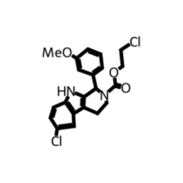 COc1cccc(C2c3[nH]c4ccc(Cl)cc4c3CCN2C(=O)OCCCl)c1